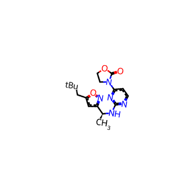 C[C@H](Nc1nccc(N2CCOC2=O)n1)c1cc(CC(C)(C)C)on1